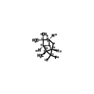 CC1(C)[C@@H]2C[C@H]1[C@]1(C)[C@H](C2)C1(F)F